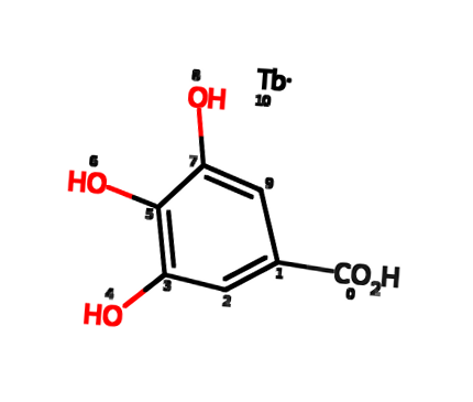 O=C(O)c1cc(O)c(O)c(O)c1.[Tb]